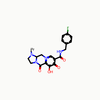 CC(C)N1CCN2C(=O)c3c(O)c(=O)c(C(=O)NCc4ccc(F)cc4)cn3CC21